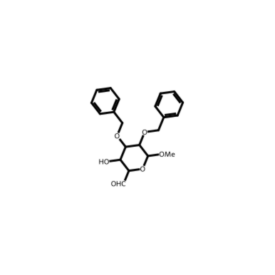 COC1OC(C=O)C(O)C(OCc2ccccc2)C1OCc1ccccc1